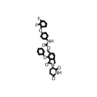 O=C1CCC(N2Cc3ccc(COC(=O)Nc4ccc(Oc5cccc(F)c5F)cc4)c(Oc4ccccc4)c3C2=O)C(=O)N1